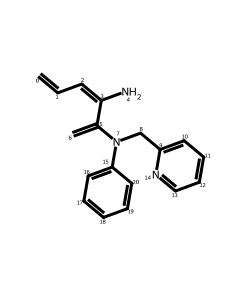 C=C/C=C(/N)C(=C)N(Cc1ccccn1)c1ccccc1